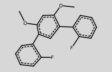 COc1cc(OC)c(-c2ccccc2F)cc1-c1ccccc1F